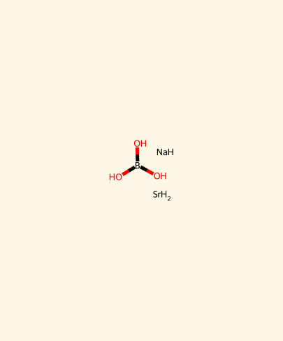 OB(O)O.[NaH].[SrH2]